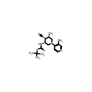 C[C@H]1CN(c2ccncc2N)C[C@@H](NC(=O)OC(C)(C)C)[C@H]1C#N